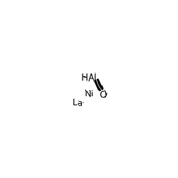 [La].[Ni].[O]=[AlH]